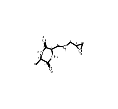 CC1OC(=O)C(COCC2CO2)OC1=O